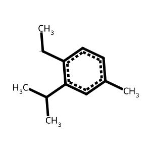 C[CH]c1ccc(C)cc1C(C)C